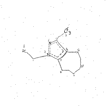 CC(=O)Cn1nc(C(F)(F)F)c2c1CCCC2